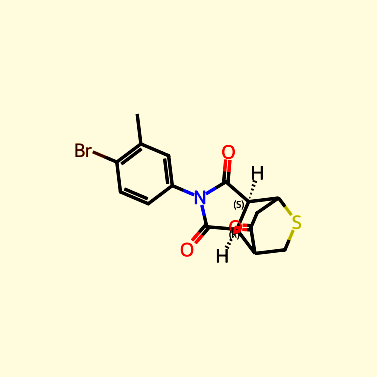 Cc1cc(N2C(=O)[C@@H]3C4CSC(CC4=O)[C@@H]3C2=O)ccc1Br